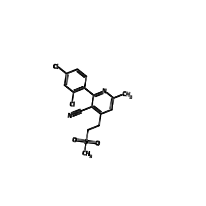 Cc1cc(CCS(C)(=O)=O)c(C#N)c(-c2ccc(Cl)cc2Cl)n1